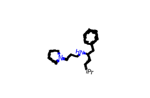 CC(C)CCC(Cc1ccccc1)NCCCN1CCCC1